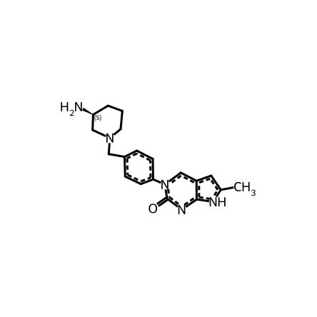 Cc1cc2cn(-c3ccc(CN4CCC[C@H](N)C4)cc3)c(=O)nc2[nH]1